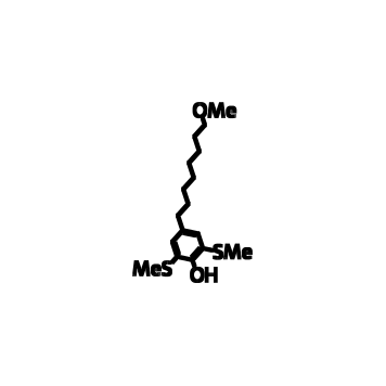 COCCCCCCCCc1cc(SC)c(O)c(SC)c1